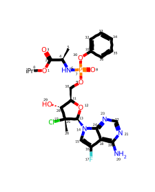 CC(C)OC(=O)[C@@H](C)NP(=O)(OC[C@H]1O[C@@H](n2cc(F)c3c(N)ncnc32)[C@](C)(Cl)[C@@H]1O)Oc1ccccc1